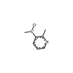 Cc1ncccc1[S+](C)[O-]